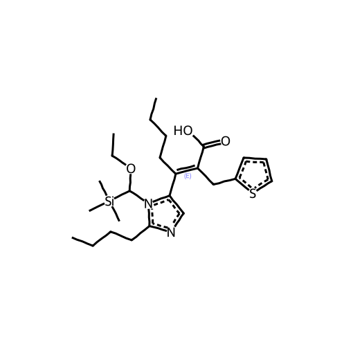 CCCC/C(=C(/Cc1cccs1)C(=O)O)c1cnc(CCCC)n1C(OCC)[Si](C)(C)C